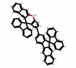 c1ccc2c(c1)-c1ccccc1C21c2cc(-c3ccc4c(c3)C3(c5ccccc5-c5ccccc53)c3cc5ccccc5cc3-4)ccc2Oc2cc3ccccc3cc21